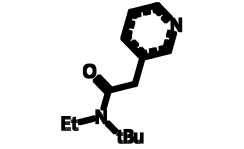 CCN(C(=O)Cc1cccnc1)C(C)(C)C